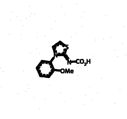 COc1ccccc1-n1ccsc1=NC(=O)O